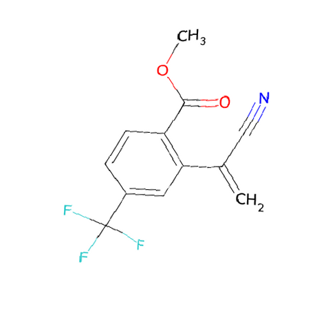 C=C(C#N)c1cc(C(F)(F)F)ccc1C(=O)OC